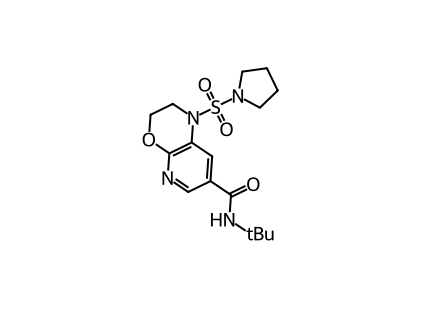 CC(C)(C)NC(=O)c1cnc2c(c1)N(S(=O)(=O)N1CCCC1)CCO2